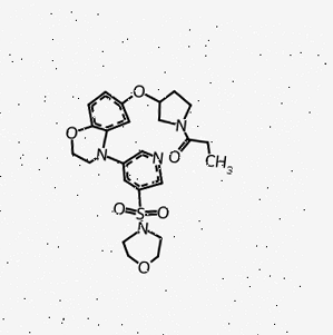 CCC(=O)N1CCC(Oc2ccc3c(c2)N(c2cncc(S(=O)(=O)N4CCOCC4)c2)CCO3)C1